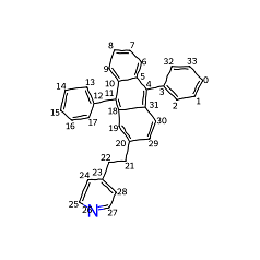 c1ccc(-c2c3ccccc3c(-c3ccccc3)c3cc(CCc4ccncc4)ccc23)cc1